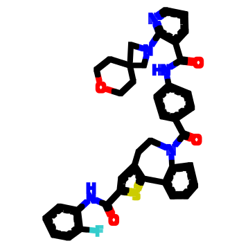 O=C(Nc1ccccc1F)c1cc2c(s1)-c1ccccc1N(C(=O)c1ccc(NC(=O)c3cccnc3N3CC4(CCOCC4)C3)cc1)CC2